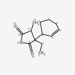 CCC1(C2C=CCCC2)C(=O)OC(=O)C1C